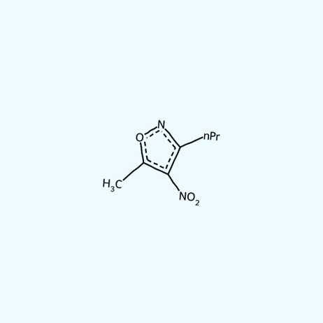 CCCc1noc(C)c1[N+](=O)[O-]